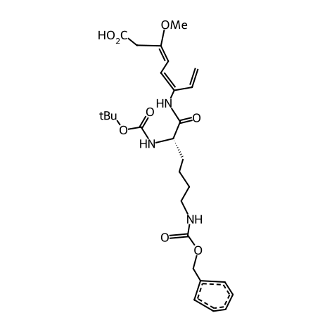 C=C/C(=C\C=C(/CC(=O)O)OC)NC(=O)[C@H](CCCCNC(=O)OCc1ccccc1)NC(=O)OC(C)(C)C